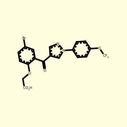 O=C(O)COc1ccc(Br)cc1C(=O)c1cnn(-c2ccc(OC(F)(F)F)cc2)c1